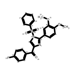 COc1ccc(-c2nc(C(=O)c3ccc(F)cc3)cn2S(=O)(=O)c2ccccc2)cc1OC